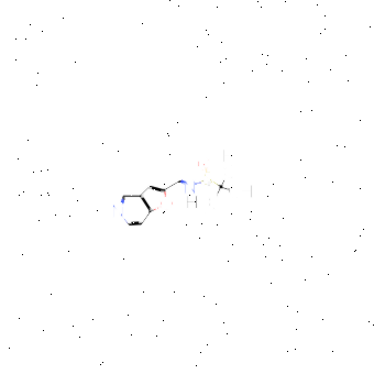 CC(C)(C)[S@+]([O-])N=Cc1cc2cnccc2o1